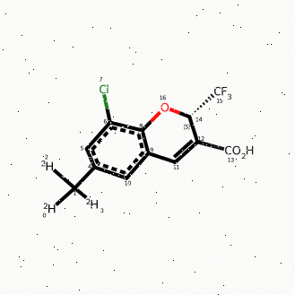 [2H]C([2H])([2H])c1cc(Cl)c2c(c1)C=C(C(=O)O)[C@@H](C(F)(F)F)O2